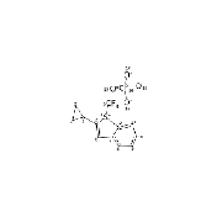 FC(F)(F)[s+]1c(C2CC2)cc2ccccc21.[O-][Cl+3]([O-])([O-])[O-]